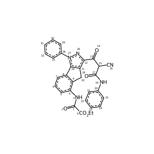 CCOC(=O)C(=O)Nc1cccc2c1Cc1c(C(=O)C(C#N)C(=O)Nc3ccccc3)nn(-c3ccccc3)c1-2